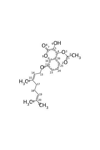 CC(=O)Oc1c(O)c(=O)oc2c(OCC=C(C)CCC=C(C)C)cccc12